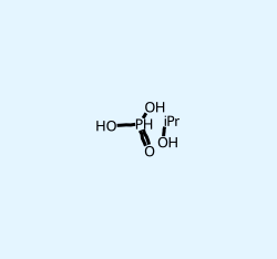 CC(C)O.O=[PH](O)O